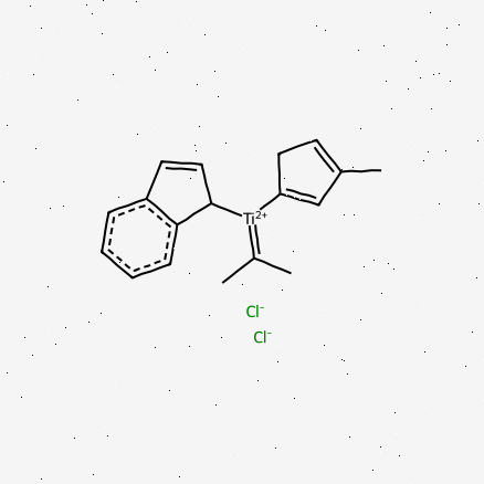 CC1=CC[C]([Ti+2](=[C](C)C)[CH]2C=Cc3ccccc32)=C1.[Cl-].[Cl-]